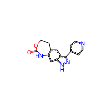 O=C1Nc2cc3[nH]nc(-c4ccncc4)c3cc2CCO1